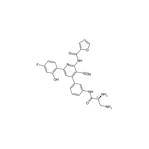 N#Cc1c(-c2cccc(NC(=O)[C@@H](N)CN)c2)cc(-c2ccc(F)cc2O)nc1NC(=O)c1ccco1